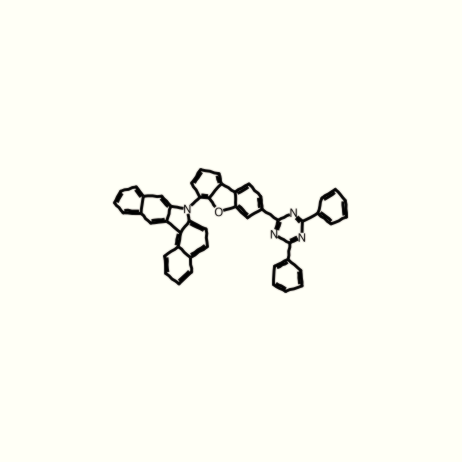 c1ccc(-c2nc(-c3ccccc3)nc(-c3ccc4c(c3)oc3c(-n5c6cc7ccccc7cc6c6c7ccccc7ccc65)cccc34)n2)cc1